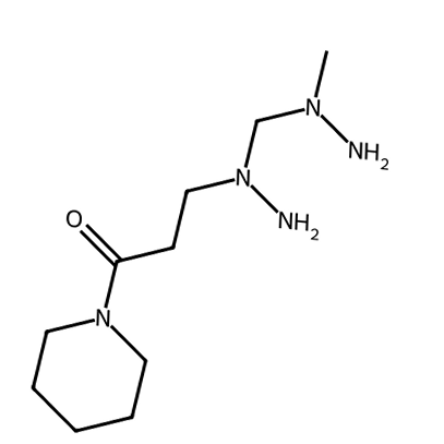 CN(N)CN(N)CCC(=O)N1CCCCC1